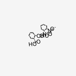 O=C(O)c1ccccc1O.O=[N+]([O-])c1ccccc1[N+](=O)[O-]